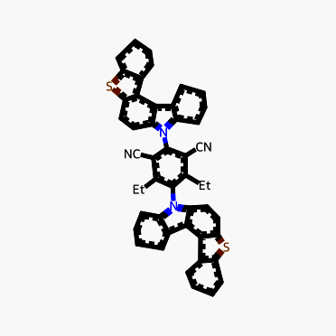 CCc1c(C#N)c(-n2c3ccccc3c3c4c(ccc32)sc2ccccc24)c(C#N)c(CC)c1-n1c2ccccc2c2c3c(ccc21)sc1ccccc13